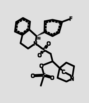 CS(=O)(=O)OC(CS(=O)(=O)N1CCc2ccccc2[C@@H]1c1ccc(F)cc1)C12CCN(CC1)CC2